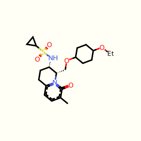 CCOC1CCC(OC[C@H]2[C@@H](NS(=O)(=O)C3CC3)CCc3ccc(C)c(=O)n32)CC1